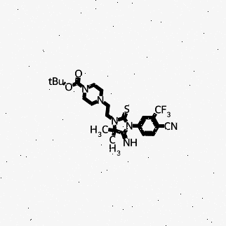 CC(C)(C)OC(=O)N1CCN(CCN2C(=S)N(c3ccc(C#N)c(C(F)(F)F)c3)C(=N)C2(C)C)CC1